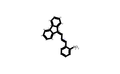 O=[N+]([O-])c1ccccc1/C=C/C=C1c2ccccc2-c2ccccc21